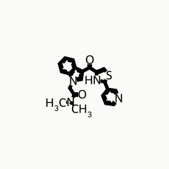 CN(C)C(=O)Cn1cc(C(=O)C2=CSC(c3cccnc3)N2)c2ccccc21